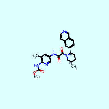 Cc1cc(NC(=O)C(=O)N2C[C@H](C)CC[C@H]2c2ccc3cnccc3c2)cnc1NC(=O)OC(C)(C)C